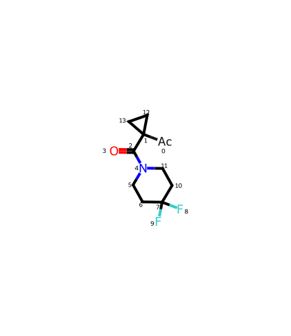 CC(=O)C1(C(=O)N2CCC(F)(F)CC2)CC1